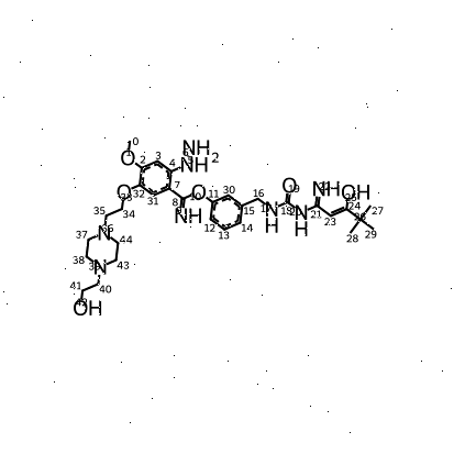 COc1cc(NN)c(C(=N)Oc2cccc(CNC(=O)NC(=N)/C=C(\O)C(C)(C)C)c2)cc1OCCN1CCN(CCO)CC1